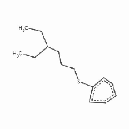 CCC(CC)CCCSc1ccccc1